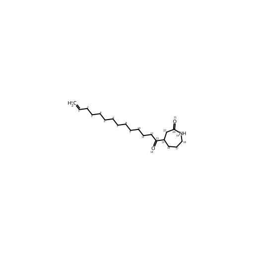 C=CCCCCCCCCCCCC(=O)C1CCCNC(=O)C1